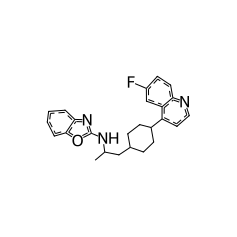 CC(CC1CCC(c2ccnc3ccc(F)cc23)CC1)Nc1nc2ccccc2o1